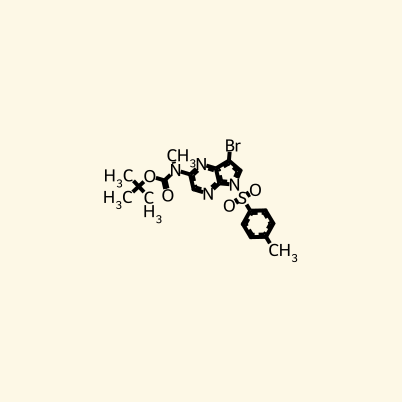 Cc1ccc(S(=O)(=O)n2cc(Br)c3nc(N(C)C(=O)OC(C)(C)C)cnc32)cc1